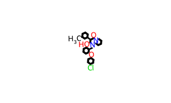 Cc1cccc(-c2c(O)[n+](Cc3ccccc3Oc3ccc(Cl)cc3)c3ccccn3c2=O)c1